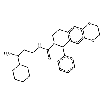 CN(CCNC(=O)N1CCc2cc3c(cc2C1c1ccccc1)OCCO3)C1CCCCC1